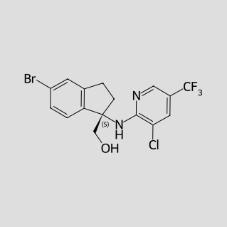 OC[C@]1(Nc2ncc(C(F)(F)F)cc2Cl)CCc2cc(Br)ccc21